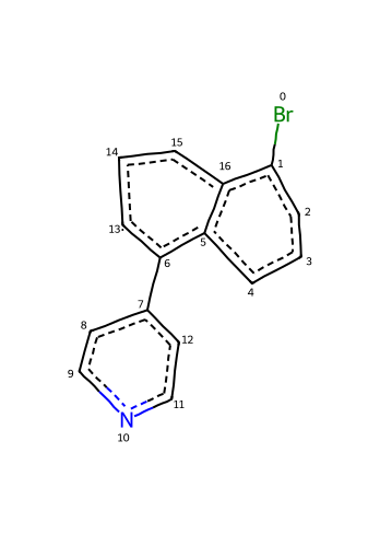 Brc1cccc2c(-c3ccncc3)[c]ccc12